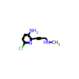 CNCC#Cc1nc(Cl)ccc1N